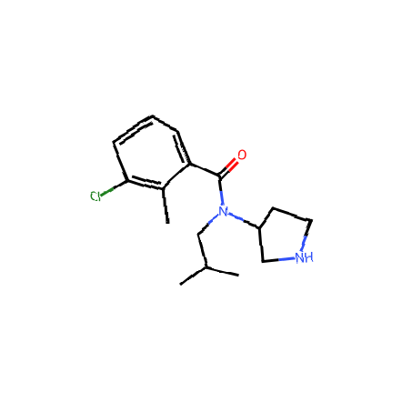 Cc1c(Cl)cccc1C(=O)N(CC(C)C)C1CCNC1